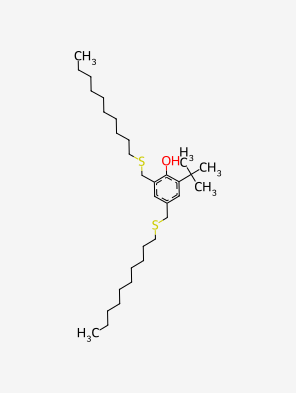 CCCCCCCCCCSCc1cc(CSCCCCCCCCCC)c(O)c(C(C)(C)C)c1